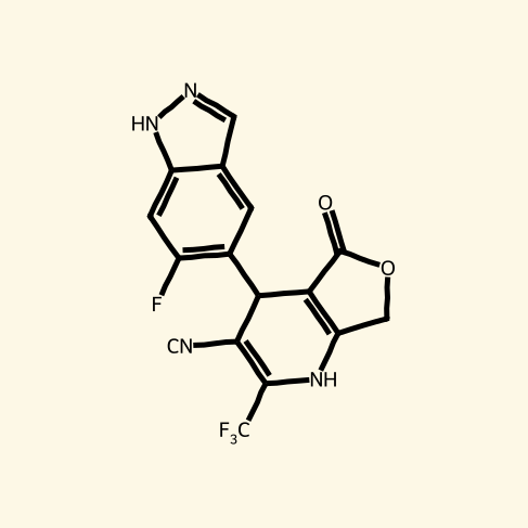 [C-]#[N+]C1=C(C(F)(F)F)NC2=C(C(=O)OC2)C1c1cc2cn[nH]c2cc1F